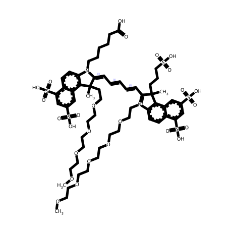 COCCOCCOCCOCCOCC[N+]1=C(/C=C/C=C/C=C2/N(CCCCCC(=O)O)c3ccc4c(S(=O)(=O)O)cc(S(=O)(=O)O)cc4c3C2(C)CCOCCOCCOCCOC)C(C)(CCCS(=O)(=O)O)c2c1ccc1c(S(=O)(=O)O)cc(S(=O)(=O)O)cc21